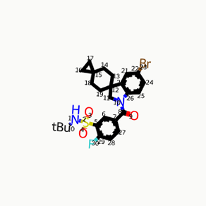 CC(C)(C)NS(=O)(=O)c1cc(C(=O)N2CC3(CCC4(CC4)CC3)c3cc(Br)ccc32)ccc1F